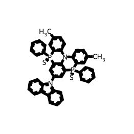 Cc1ccc2c(c1)P(=S)(c1ccccc1)c1cc(-n3c4ccccc4c4ccccc43)cc3c1N2c1ccc(C)cc1P3(=S)c1ccccc1